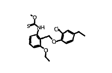 CCOc1cccc(NC(=S)OC)c1COc1ccc(CC)cc1Cl